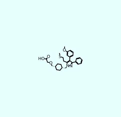 COc1cccc(-c2c(-c3ccccc3)nn(C[C@H]3CC[C@@H](COCC(=O)O)CC3)c2CCSC)c1